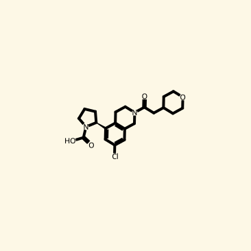 O=C(CC1CCOCC1)N1CCc2c(cc(Cl)cc2[C@@H]2CCCN2C(=O)O)C1